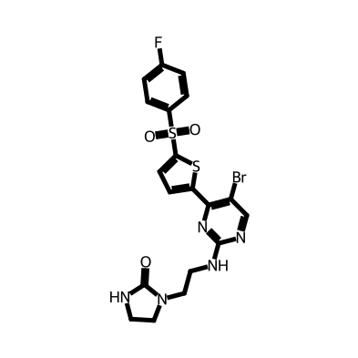 O=C1NCCN1CCNc1ncc(Br)c(-c2ccc(S(=O)(=O)c3ccc(F)cc3)s2)n1